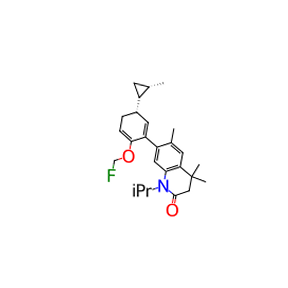 Cc1cc2c(cc1C1=C[C@@H](C3C[C@@H]3C)CC=C1OCF)N(C(C)C)C(=O)CC2(C)C